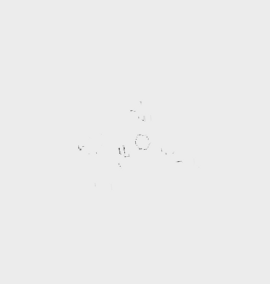 C=CC(=O)NCc1cc(CNC(=O)C(CC(C)(C)I)C(C)(C)C(C)(C)CC(C(=O)O)C(C)(C)C)cc(CNC(=O)C=C)c1O